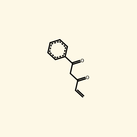 C=CC(=O)CC(=O)c1ccccc1